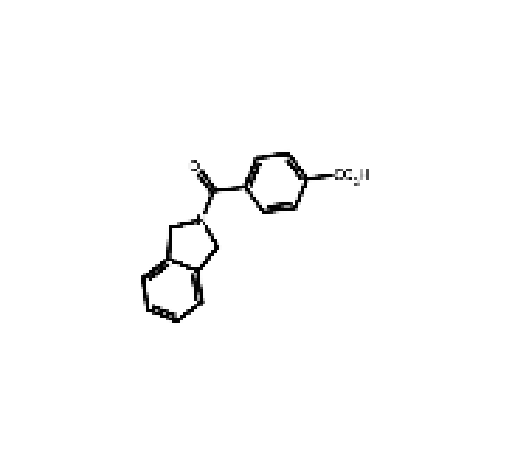 O=C(O)c1ccc(C(=O)N2Cc3ccccc3C2)cc1